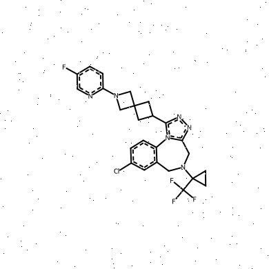 Fc1ccc(N2CC3(CC(c4nnc5n4-c4ccc(Cl)cc4CN(C4(C(F)(F)F)CC4)C5)C3)C2)nc1